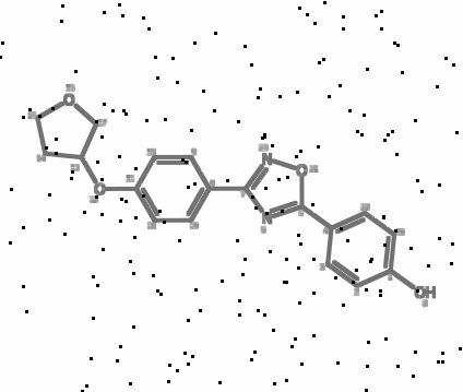 Oc1ccc(-c2nc(-c3ccc(OC4CCOC4)cc3)no2)cc1